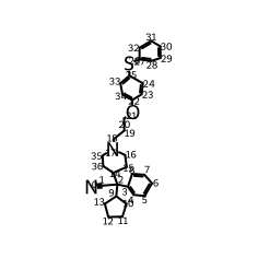 N#CC(c1ccccc1)(C1CCCC1)C1CCN(CCCOc2ccc(Sc3ccccc3)cc2)CC1